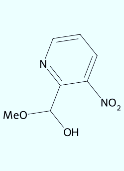 COC(O)c1ncccc1[N+](=O)[O-]